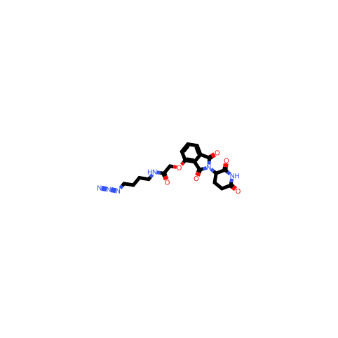 [N-]=[N+]=NCCCCNC(=O)COc1cccc2c1C(=O)N(C1CCC(=O)NC1=O)C2=O